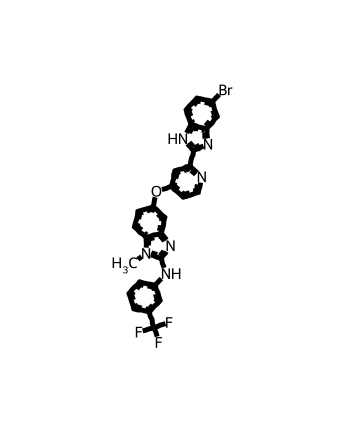 Cn1c(Nc2cccc(C(F)(F)F)c2)nc2cc(Oc3ccnc(-c4nc5cc(Br)ccc5[nH]4)c3)ccc21